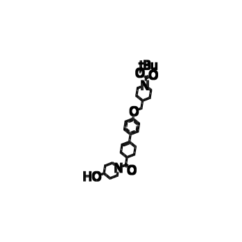 CC(C)(C)OC(=O)N1CCC(COc2ccc(C3=CCC(C(=O)N4CCC(O)CC4)CC3)cc2)CC1